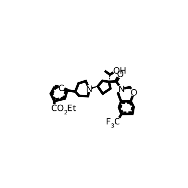 CCOC(=O)c1cccc(C2CCN([C@@H]3CC[C@@](C(=O)N4COc5ccc(C(F)(F)F)cc5C4)(C(C)O)C3)CC2)c1